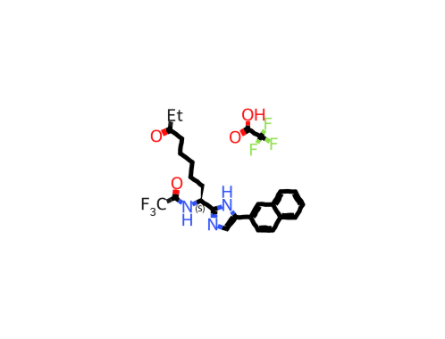 CCC(=O)CCCCC[C@H](NC(=O)C(F)(F)F)c1ncc(-c2ccc3ccccc3c2)[nH]1.O=C(O)C(F)(F)F